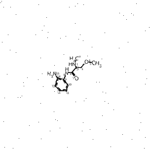 CN[C@@H](COC)C(=O)Nc1ccccc1N